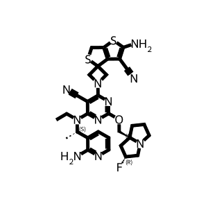 CCN(c1nc(OC[C@@]23CCCN2C[C@H](F)C3)nc(N2CC3(C2)SCc2sc(N)c(C#N)c23)c1C#N)[C@@H](C)c1cccnc1N